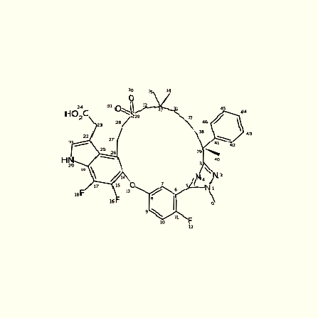 Cn1nc2nc1-c1cc(ccc1F)Oc1c(F)c(F)c3[nH]cc(CC(=O)O)c3c1CCS(=O)(=O)CC(C)(C)CCC[C@]2(C)c1ccccc1